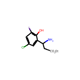 CCOC(=O)CC(N)c1cc(Cl)cc(I)c1O